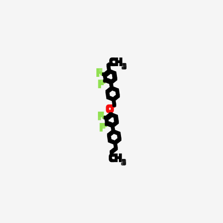 CCCC1CCC(c2ccc(OCC3CCC(c4ccc(CC)c(F)c4F)CC3)c(F)c2F)CC1